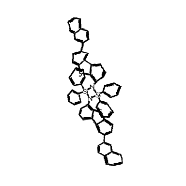 c1ccc([Si]2(c3ccccc3)N(c3cccc4c3sc3ccc(-c5ccc6ccccc6c5)cc34)[Si](c3ccccc3)(c3ccccc3)N2c2cccc3c2sc2ccc(-c4ccc5ccccc5c4)cc23)cc1